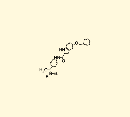 CCN(CC)C(C)c1ccc(NC(=O)c2cc3cc(OCc4ccccc4)ccc3[nH]2)cc1